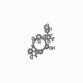 CCn1c(-c2cccnc2[C@H](C)OC)c2c3cc(ccc31)-c1cc(O)cc(c1)C[C@H](NC(=O)[C@H](C(C)C)N(C)C(=O)[C@H]1C[C@@H]3COCCN3C1)C(=O)N1CCC[C@H](N1)C(=O)OCC(C)(C)C2